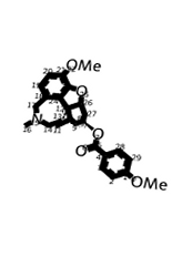 COc1ccc(C(=O)O[C@H]2CC(C)[C@@]34CCN(C)Cc5ccc(OC)c(c53)OC4C2)cc1